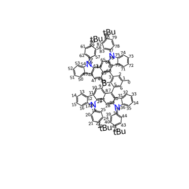 Cc1cc2c3c(c1)-c1c4c(cc5c6ccccc6n(-c6ccc(C(C)(C)C)cc6)c5c4cc4c1c1ccccc1n4-c1ccc(C(C)(C)C)cc1)B3c1cc3c4ccccc4n(-c4ccc(C(C)(C)C)cc4)c3c3cc4c(c-2c13)c1ccccc1n4-c1ccc(C(C)(C)C)cc1